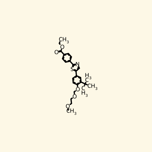 CCOC(=O)c1ccc(-c2ncc(-c3ccc(OCOCCOC)c(C(C)(C)C)c3)s2)cc1